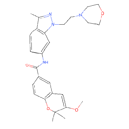 COC1=Cc2cc(C(=O)Nc3ccc4c(C)nn(CCN5CCOCC5)c4c3)ccc2OC1(C)C